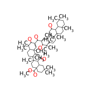 COC(=O)C12CCC(C)(C)CC1C1C(=O)C=C3C4(C)C=C(C(=O)C5=CC6(C)C7=CC(=O)C8C9CC(C)(C)CCC9(C)CCC8(C)C7(C)CCC6C(C)(C)C5=O)C(=O)C(C)(C)C4CCC3(C)C1(C)CC2